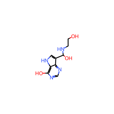 OCCNC(O)c1c[nH]c2c(O)ncnc12